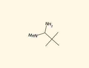 CNC(N)C(C)(C)C